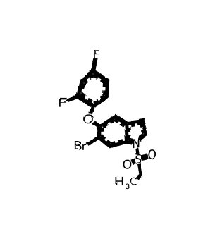 CCS(=O)(=O)n1ccc2cc(Oc3ccc(F)cc3F)c(Br)cc21